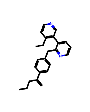 C=C(CCC)c1ccc(Cc2ncccc2-c2cnccc2CC)cc1